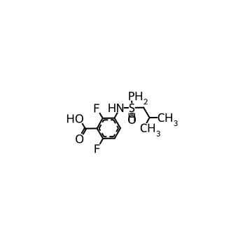 CC(C)C[SH](=O)(P)Nc1ccc(F)c(C(=O)O)c1F